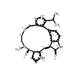 CC(C)c1onc2c1-c1ccc3c(c1)/C(=C/c1[nH]ccc1C(=O)N(C)CCOC2)C(=O)N3